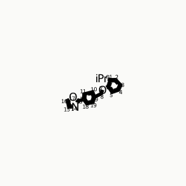 CC(C)c1ccccc1OCc1ccc(-c2ncco2)cc1